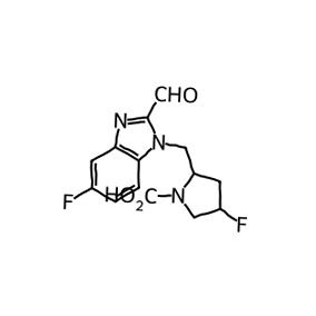 O=Cc1nc2cc(F)ccc2n1CC1CC(F)CN1C(=O)O